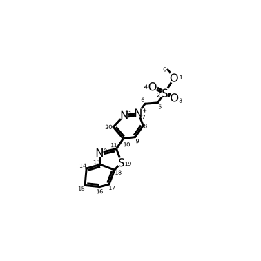 COS(=O)(=O)CC[n+]1ccc(-c2nc3ccccc3s2)cn1